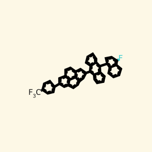 Fc1ccc(-c2c3ccccc3c(-c3cc4ccc5cc(-c6ccc(C(F)(F)F)cc6)cc6ccc(c3)c4c56)c3ccccc23)c2ccccc12